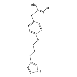 CCCCC(Cc1ccc(OCCCc2c[nH]cn2)cc1)=NO